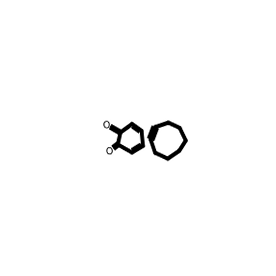 C1#CCCCCCC1.O=C1C=CC=CC1=O